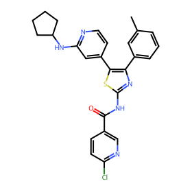 Cc1cccc(-c2nc(NC(=O)c3ccc(Cl)nc3)sc2-c2ccnc(NC3CCCC3)c2)c1